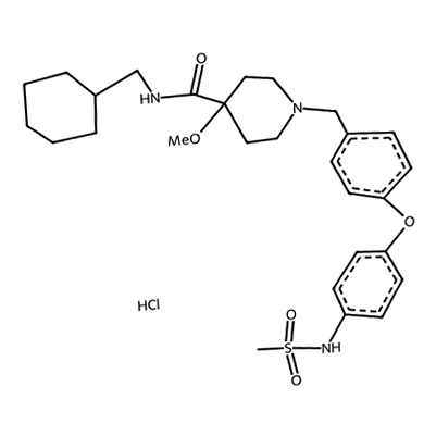 COC1(C(=O)NCC2CCCCC2)CCN(Cc2ccc(Oc3ccc(NS(C)(=O)=O)cc3)cc2)CC1.Cl